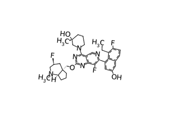 CCc1c(F)ccc2cc(O)cc(-c3ncc4c(N5CCC[C@@](C)(O)C5)nc(OC[C@]56CCC[C@H]5N(C)C[C@@H](F)C6)nc4c3F)c12